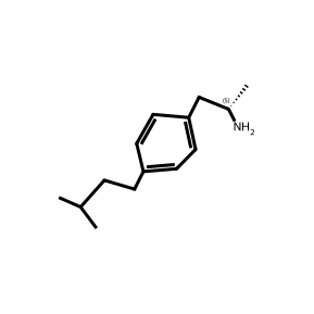 CC(C)CCc1ccc(C[C@H](C)N)cc1